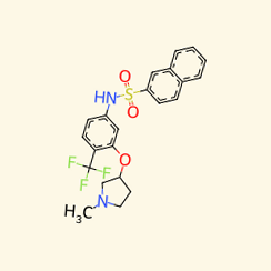 CN1CCC(Oc2cc(NS(=O)(=O)c3ccc4ccccc4c3)ccc2C(F)(F)F)C1